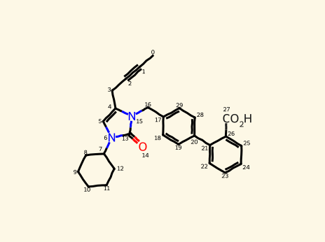 CC#CCc1cn(C2CCCCC2)c(=O)n1Cc1ccc(-c2ccccc2C(=O)O)cc1